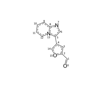 O=Cc1cc(-c2cnc3ccccn23)co1